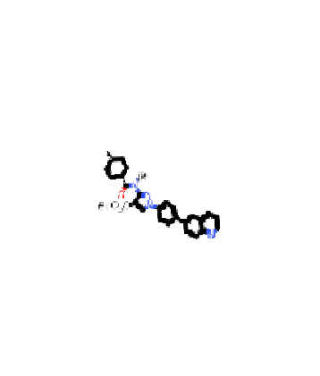 CCOC(=O)c1cn(-c2ccc(-c3ccc4ncccc4c3)cc2)nc1N(C(=O)[C@H]1CC[C@H](C)CC1)C(C)C